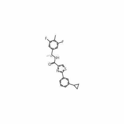 Cc1c(F)cc([C@@H](C)NC(=O)c2csc(-c3cccc(C4CC4)c3)n2)cc1F